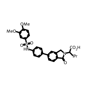 COc1ccc(S(=O)(=O)Nc2ccc(-c3ccc4c(c3)CN(C(C(=O)O)C(C)C)C4=O)cc2)cc1OC